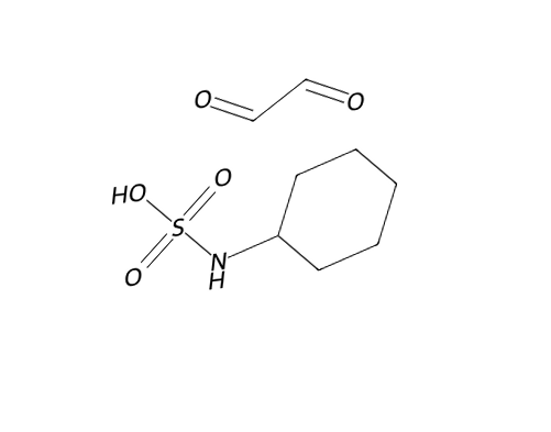 O=CC=O.O=S(=O)(O)NC1CCCCC1